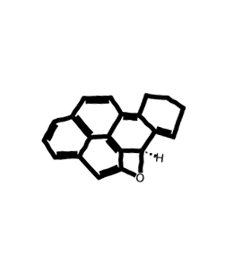 C1=C2C(=c3ccc4cccc5cc6c(c3c45)[C@@H]2O6)CCC1